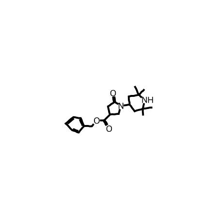 CC1(C)CC(N2CC(C(=O)OCc3ccccc3)CC2=O)CC(C)(C)N1